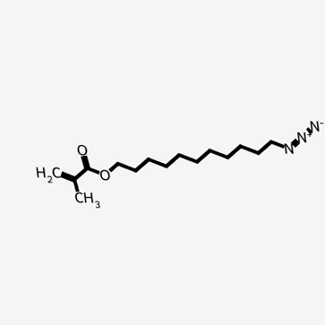 C=C(C)C(=O)OCCCCCCCCCCCN=[N+]=[N-]